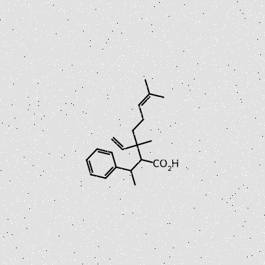 C=CC(C)(CCC=C(C)C)C(C(=O)O)C(C)c1ccccc1